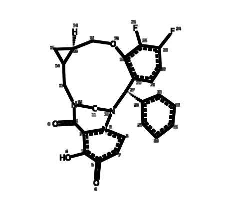 O=C1c2c(O)c(=O)ccn2N2CN1CC1C[C@H]1COc1c(ccc(F)c1F)[C@@H]2c1ccccc1